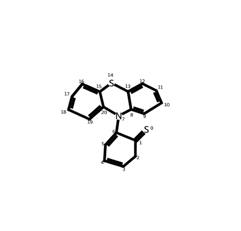 S=C1CC=CC=C1N1c2ccccc2Sc2ccccc21